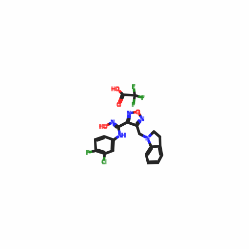 O/N=C(\Nc1ccc(F)c(Cl)c1)c1nonc1CN1CCc2ccccc21.O=C(O)C(F)(F)F